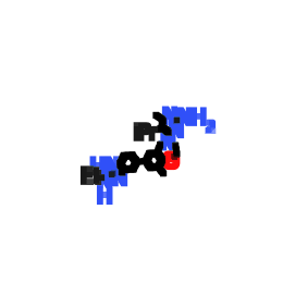 CCNc1nc2cc(-c3cc(C)c4c(c3)CN(c3nc(N)nc(C)c3C(C)C)CCO4)ccc2[nH]1